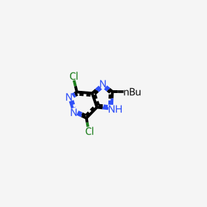 CCCCc1nc2c(Cl)nnc(Cl)c2[nH]1